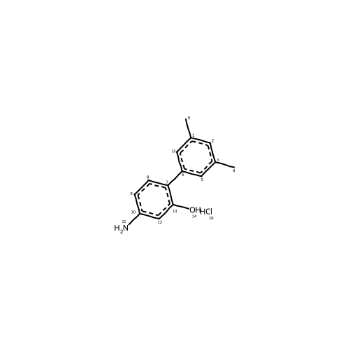 Cc1cc(C)cc(-c2ccc(N)cc2O)c1.Cl